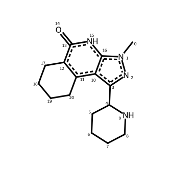 Cn1nc(C2CCCCN2)c2c3c(c(=O)[nH]c21)CCCC3